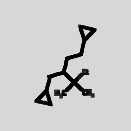 CCC(C)(C)C([CH]C1CC1)CCC1CC1